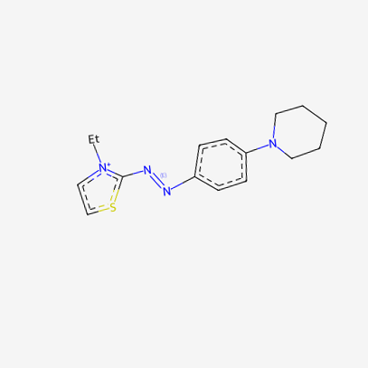 CC[n+]1ccsc1/N=N/c1ccc(N2CCCCC2)cc1